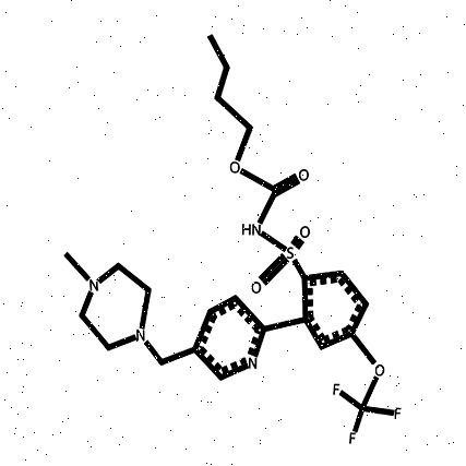 CCCCOC(=O)NS(=O)(=O)c1ccc(OC(F)(F)F)cc1-c1ccc(CN2CCN(C)CC2)cn1